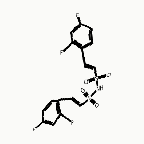 O=S(=O)(C=Cc1ccc(F)cc1F)NS(=O)(=O)C=Cc1ccc(F)cc1F